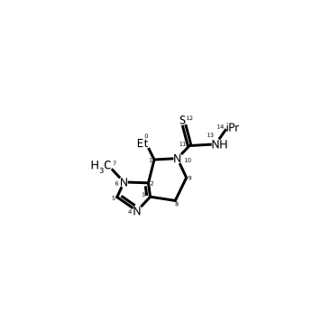 CCC1c2c(ncn2C)CCN1C(=S)NC(C)C